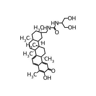 CC1=C(O)C(=O)C=C2C1=CC=C1[C@@]2(C)CC[C@@]2(C)[C@@H]3C[C@](C)(CNC(=O)NC(CO)CO)CC[C@]3(C)CC[C@]12C